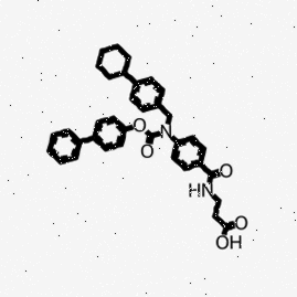 O=C(O)CCNC(=O)c1ccc(N(Cc2ccc(C3CCCCC3)cc2)C(=O)Oc2ccc(-c3ccccc3)cc2)cc1